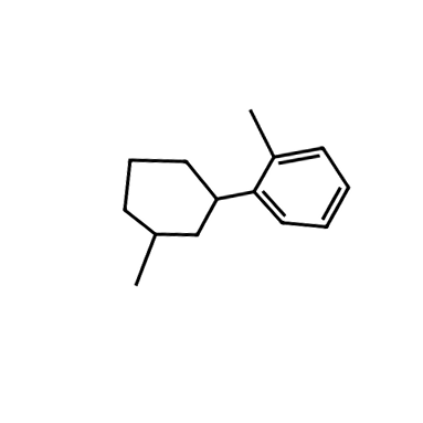 Cc1ccccc1C1CCCC(C)C1